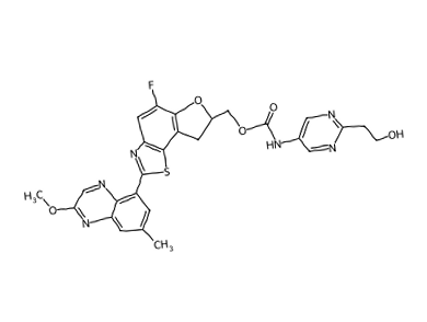 COc1cnc2c(-c3nc4cc(F)c5c(c4s3)CC(COC(=O)Nc3cnc(CCO)nc3)O5)cc(C)cc2n1